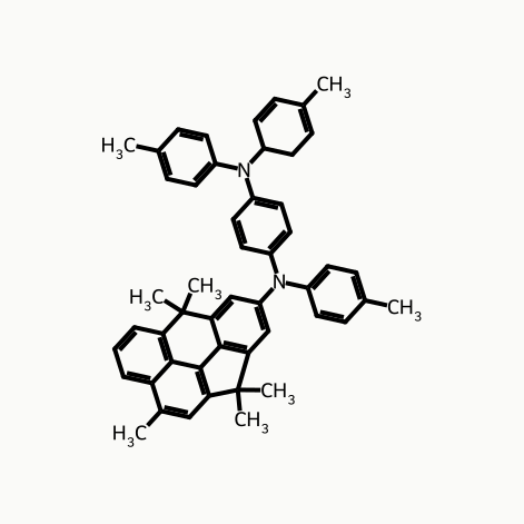 CC1=CCC(N(c2ccc(C)cc2)c2ccc(N(c3ccc(C)cc3)c3cc4c5c(c3)C(C)(C)c3cccc6c(C)cc(c-5c36)C4(C)C)cc2)C=C1